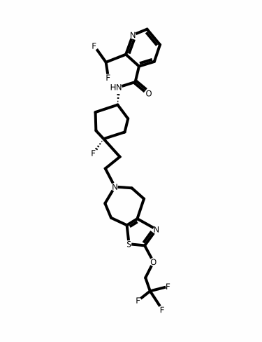 O=C(N[C@H]1CC[C@](F)(CCN2CCc3nc(OCC(F)(F)F)sc3CC2)CC1)c1cccnc1C(F)F